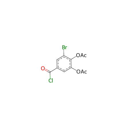 CC(=O)Oc1cc(C(=O)Cl)cc(Br)c1OC(C)=O